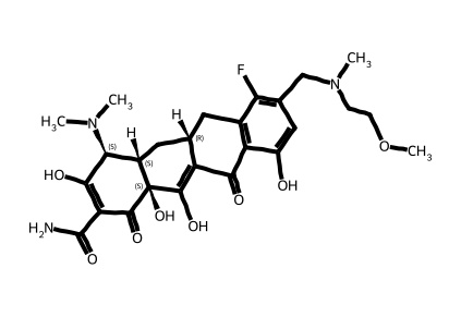 COCCN(C)Cc1cc(O)c2c(c1F)C[C@H]1C[C@H]3[C@H](N(C)C)C(O)=C(C(N)=O)C(=O)[C@@]3(O)C(O)=C1C2=O